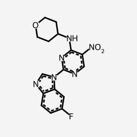 O=[N+]([O-])c1cnc(-n2cnc3ccc(F)cc32)nc1NC1CCOCC1